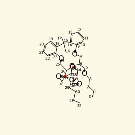 CCCCOCC(COc1ccccc1C(C)(C)c1ccccc1OCC(COCCCC)OCC1CO1)OCC1CO1